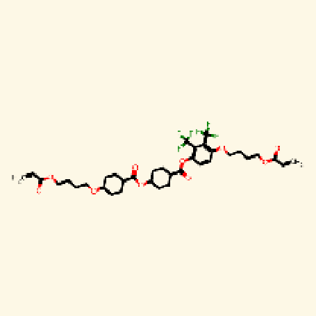 C=CC(=O)OCCCCOc1ccc(OC(=O)C2CCC(OC(=O)C3CCC(OCCCCOC(=O)C=C)CC3)CC2)c(C(F)(F)F)c1C(F)(F)F